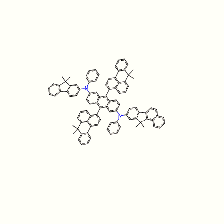 CC1(C)c2ccccc2-c2ccc(N(c3ccccc3)c3ccc4c(-c5ccc6c7c(cccc57)C(C)(C)c5ccccc5-6)c5cc(N(c6ccccc6)c6ccc7c(c6)C(C)(C)c6c-7ccc7ccccc67)ccc5c(-c5ccc6c7c(cccc57)C(C)(C)c5ccccc5-6)c4c3)cc21